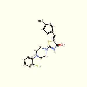 CC(C)(C)c1ccc(/C=C2\SC(N3CCN(c4ccccc4F)CC3)=NC2=O)cc1